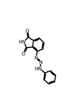 O=C1NC(=O)c2c(N=NNc3ccccc3)cccc21